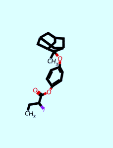 CCC(I)C(=O)Oc1ccc(OC2(C)C3CC4CC(C3)CC2C4)cc1